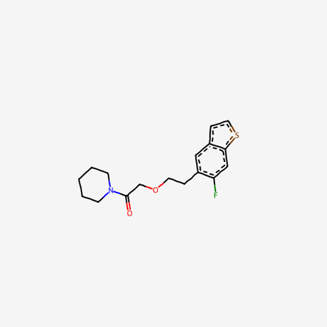 O=C(COCCc1cc2ccsc2cc1F)N1CCCCC1